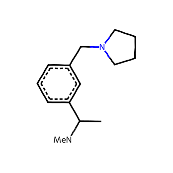 CNC(C)c1cccc(CN2CCCC2)c1